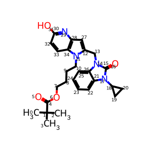 CC(C)(C)C(=O)OCCCCn1c(Cn2c(=O)n(C3CC3)c3ccccc32)cc2nc(O)ccc21